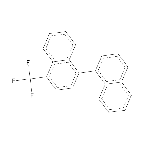 FC(F)(F)c1ccc(-c2cccc3ccccc23)c2ccccc12